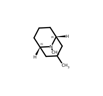 CC1C[C@H]2CCC[C@@H](C1)N2C